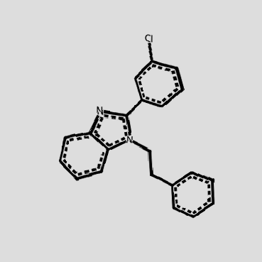 Clc1cccc(-c2nc3ccccc3n2CCc2ccccc2)c1